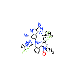 Cn1ccc2c(C(Nc3cc(C#N)c4ncc(C#N)c(NCC(C)(C)C(F)(F)F)c4c3)c3cn(C4(C(F)F)CC4)nn3)cccc2c1=O